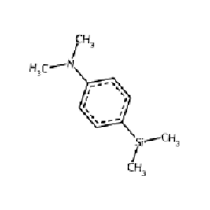 CN(C)c1ccc([Si](C)C)cc1